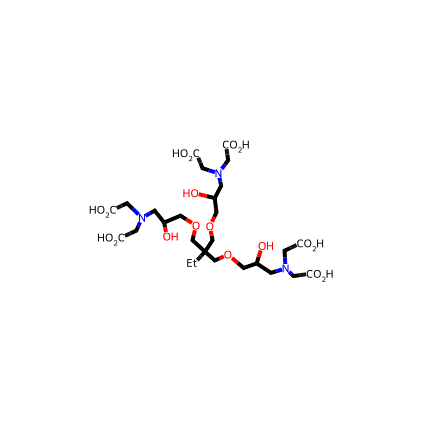 CCC(COCC(O)CN(CC(=O)O)CC(=O)O)(COCC(O)CN(CC(=O)O)CC(=O)O)COCC(O)CN(CC(=O)O)CC(=O)O